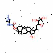 COC(C[C@@H](C)[C@H]1C[C@H](O)[C@@]2(C)C3CC[C@H]4C(C)(C)C(OC(=O)NC5CNC5)CCC45CC35CCC12C)C(O)C(C)(C)O